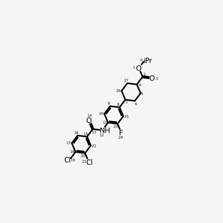 CC(C)OC(=O)C1CCC(c2ccc(NC(=O)c3ccc(Cl)c(Cl)c3)c(F)c2)CC1